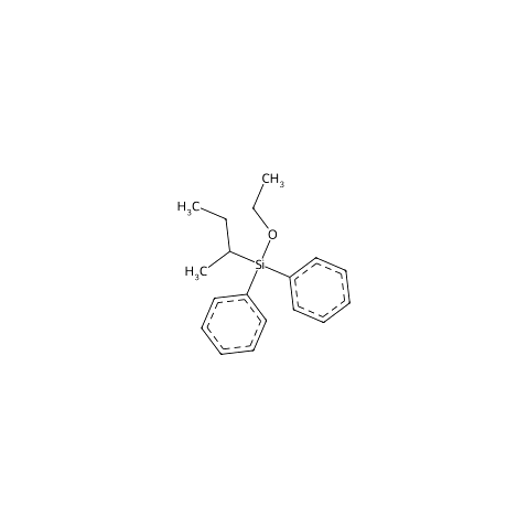 CCO[Si](c1ccccc1)(c1ccccc1)C(C)CC